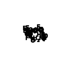 COCCn1cc(C(=O)N2CCC(c3cc(CNC(=O)C(N)C(C)C)ccc3F)CC2)c2c(OC(F)(F)F)ccc(F)c21